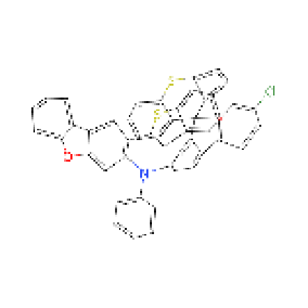 Clc1ccc2c(c1)C1(c3ccccc3Sc3ccccc31)c1cc(N(c3ccccc3)c3cc4oc5ccccc5c4cc3C3Cc4ccccc4S3)ccc1-2